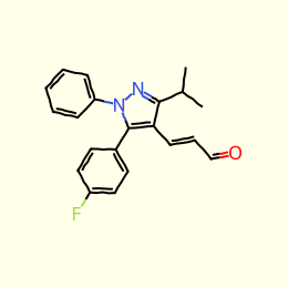 CC(C)c1nn(-c2ccccc2)c(-c2ccc(F)cc2)c1C=CC=O